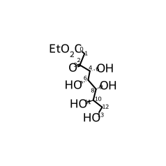 CCOC(=O)CC(=O)[C@H](O)[C@@H](O)[C@H](O)[C@H](O)CO